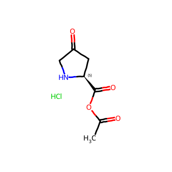 CC(=O)OC(=O)[C@@H]1CC(=O)CN1.Cl